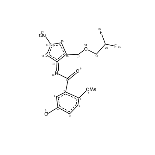 COc1ccc(Cl)cc1C(=O)N=c1sn(C(C)(C)C)cc1COCC(F)F